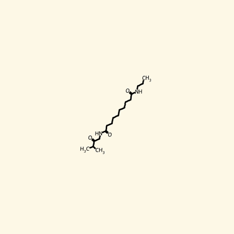 CCCNC(=O)CCCCCCCCC(=O)NCC(=O)C(C)C